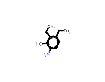 CCc1ccc(N)c(C)c1CC